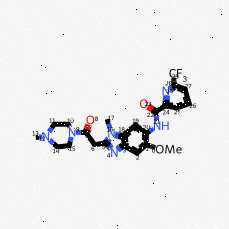 COc1cc2nc(CC(=O)N3CCN(C)CC3)n(C)c2cc1NC(=O)c1cccc(C(F)(F)F)n1